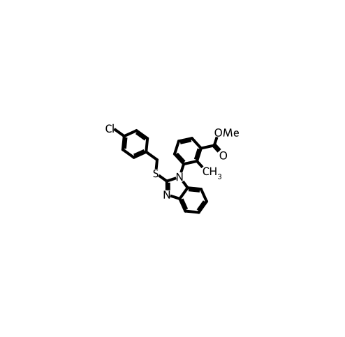 COC(=O)c1cccc(-n2c(SCc3ccc(Cl)cc3)nc3ccccc32)c1C